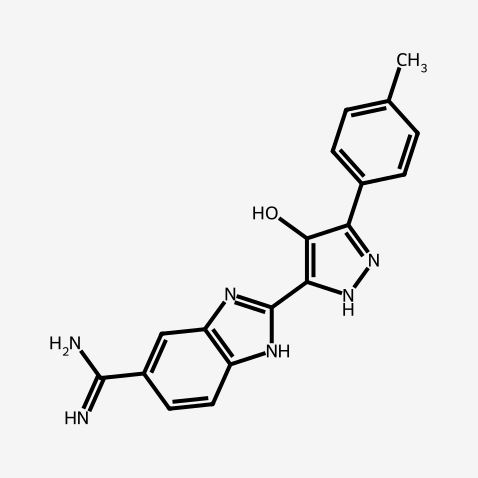 Cc1ccc(-c2n[nH]c(-c3nc4cc(C(=N)N)ccc4[nH]3)c2O)cc1